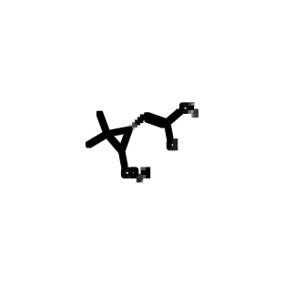 CC1(C)C(C(=O)O)[C@H]1C=C(Cl)C(F)(F)F